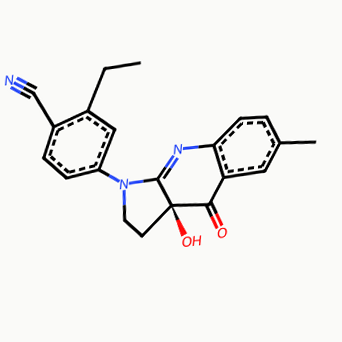 CCc1cc(N2CC[C@@]3(O)C(=O)c4cc(C)ccc4N=C23)ccc1C#N